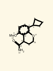 COc1ccc(C2CCC2)c2c1C(C(N)=O)CCO2